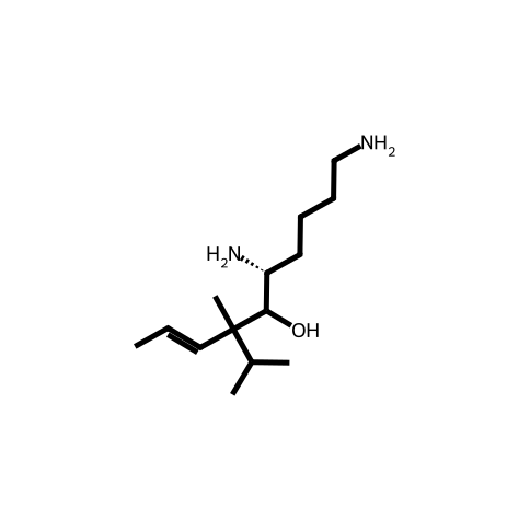 CC=CC(C)(C(C)C)C(O)[C@H](N)CCCCN